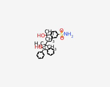 CC(C)(O)c1ccc(S(N)(=O)=O)cc1CCC(C)(C)[Si](O)(c1ccccc1)c1ccccc1